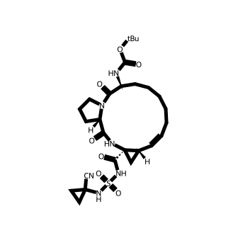 CC(C)(C)OC(=O)N[C@H]1CCCCC/C=C\[C@@H]2C[C@@]2(C(=O)NS(=O)(=O)NC2(C#N)CC2)NC(=O)[C@@H]2CCCN2C1=O